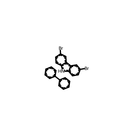 Brc1ccc2[nH]c3ccc(Br)cc3c2c1.c1ccc(-c2ccccc2)cc1